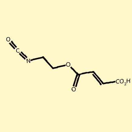 O=C=NCCOC(=O)/C=C/C(=O)O